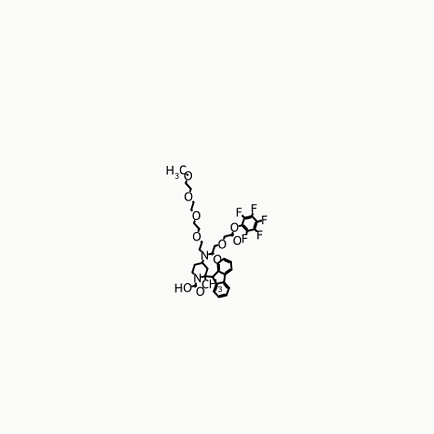 COCCOCCOCCOCCN(C(=O)COCC(=O)Oc1c(F)c(F)c(F)c(F)c1F)C1CCN(C(=O)O)C(C)(C2c3ccccc3-c3ccccc32)C1